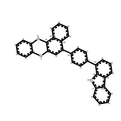 c1ccc2c(c1)Oc1cc(-c3ccc(-c4cccc5c4oc4ccccc45)cc3)c3ccccc3c1O2